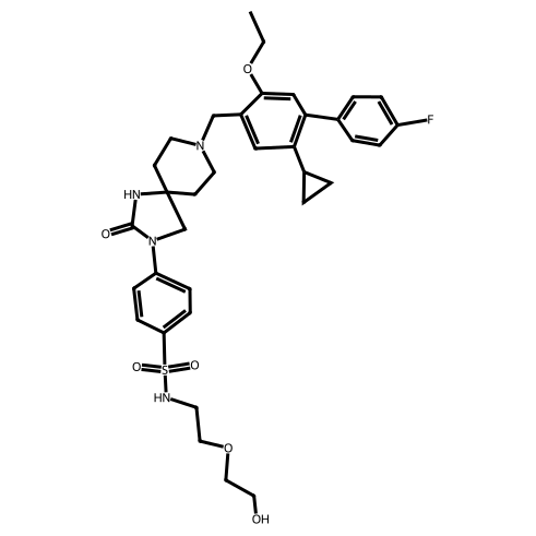 CCOc1cc(-c2ccc(F)cc2)c(C2CC2)cc1CN1CCC2(CC1)CN(c1ccc(S(=O)(=O)NCCOCCO)cc1)C(=O)N2